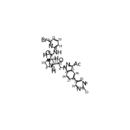 CC(=O)c1nn(CC(=O)N2[C@H]3CC[C@@H](CC3)[C@H]2C(=O)Nc2cccc(Br)n2)c2ccc(-c3cnc(C)nc3)cc12